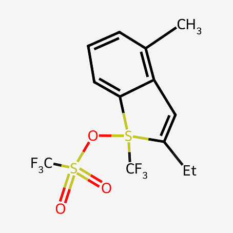 CCC1=Cc2c(C)cccc2S1(OS(=O)(=O)C(F)(F)F)C(F)(F)F